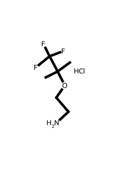 CC(C)(OCCN)C(F)(F)F.Cl